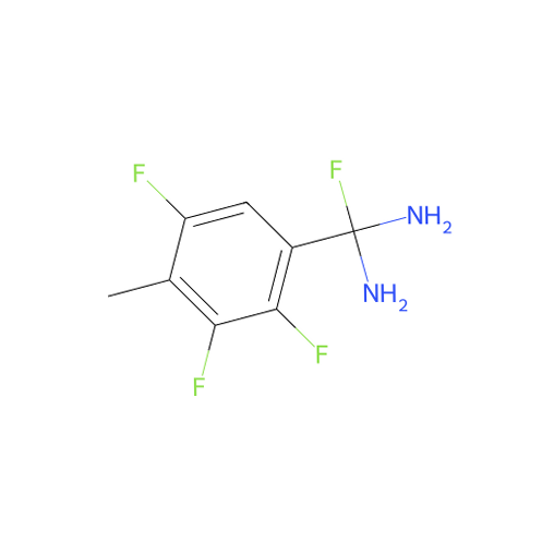 Cc1c(F)cc(C(N)(N)F)c(F)c1F